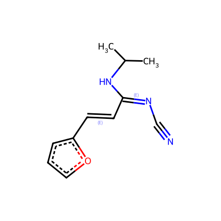 CC(C)NC(/C=C/c1ccco1)=N/C#N